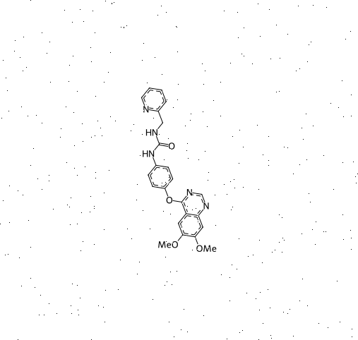 COc1cc2ncnc(Oc3ccc(NC(=O)NCc4ccccn4)cc3)c2cc1OC